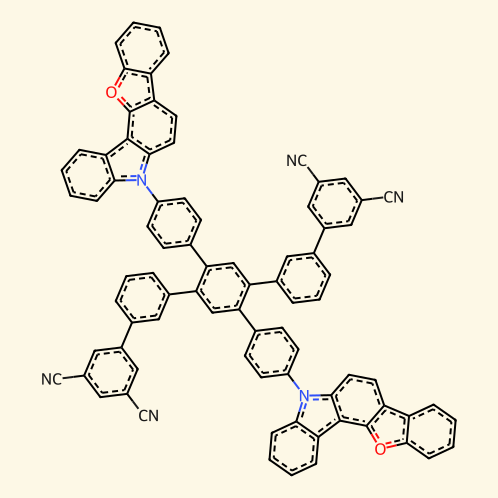 N#Cc1cc(C#N)cc(-c2cccc(-c3cc(-c4ccc(-n5c6ccccc6c6c7oc8ccccc8c7ccc65)cc4)c(-c4cccc(-c5cc(C#N)cc(C#N)c5)c4)cc3-c3ccc(-n4c5ccccc5c5c6oc7ccccc7c6ccc54)cc3)c2)c1